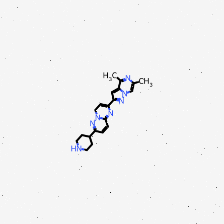 Cc1cn2nc(C3=CCN4N=C(C5CCNCC5)C=CC4=N3)cc2c(C)n1